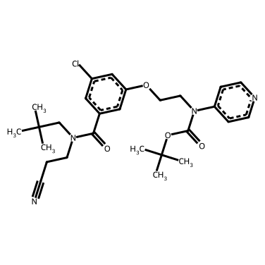 CC(C)(C)CN(CCC#N)C(=O)c1cc(Cl)cc(OCCN(C(=O)OC(C)(C)C)c2ccncc2)c1